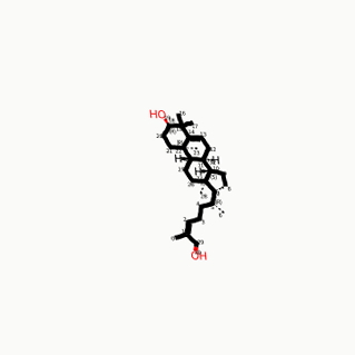 CC(=CCC[C@@H](C)[C@H]1CC[C@H]2[C@@H]3CC=C4C(C)(C)[C@H](O)CC[C@]4(C)[C@H]3CC[C@]12C)CO